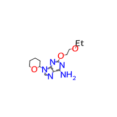 CCOCCOc1nc(N)c2ncn(C3CCCCO3)c2n1